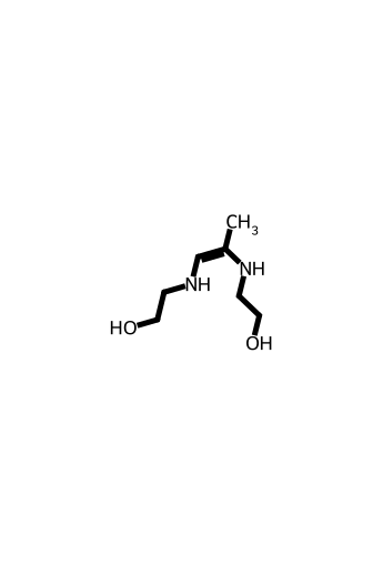 CC(=CNCCO)NCCO